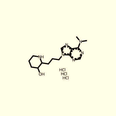 CN(C)c1ncnc2c1ncn2CCCC1NCCCC1O.Cl.Cl.Cl